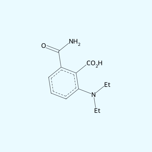 CCN(CC)c1cccc(C(N)=O)c1C(=O)O